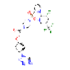 O=C(COc1ccc(-n2cnnn2)cc1)N1CCN(S(=O)(=O)c2cccn2-c2ncc(C(F)(F)F)cc2Cl)CC1